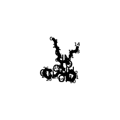 CCCCCCCC(C(=O)NCCCC)C(=O)N[C@](O)(CCN1CCOCC1)c1ccccc1